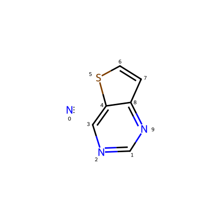 [N].c1ncc2sccc2n1